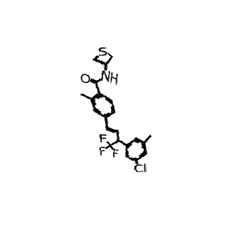 Cc1cc(Cl)cc(C(/C=C/c2ccc(C(=O)NC3CSC3)c(C)c2)C(F)(F)F)c1